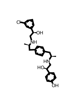 C[C@H](Cc1ccc(C[C@@H](C)NC[C@H](O)c2cccc(Cl)c2)cc1)NC[C@H](O)c1ccc(O)cc1